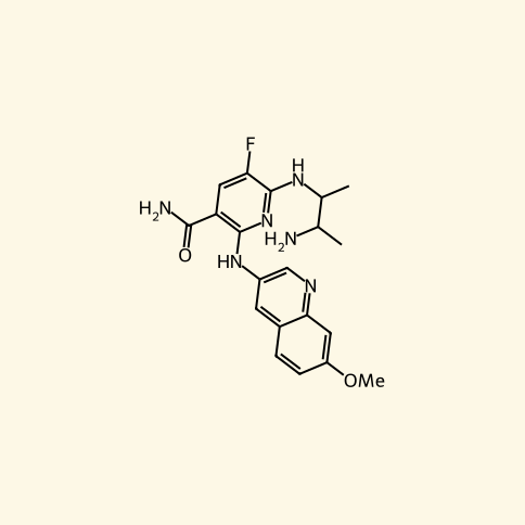 COc1ccc2cc(Nc3nc(NC(C)C(C)N)c(F)cc3C(N)=O)cnc2c1